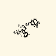 CN(C)CCn1cc(CN(C)C(=O)/C=C/c2cnc3c(c2)CCC(=O)N3)c2ccccc21